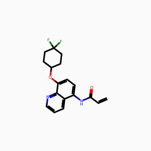 C=CC(=O)Nc1ccc(OC2CCC(F)(F)CC2)c2ncccc12